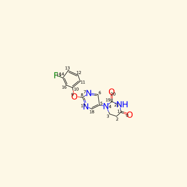 O=C1CCN(c2cnc(Oc3cccc(F)c3)nc2)C(=O)N1